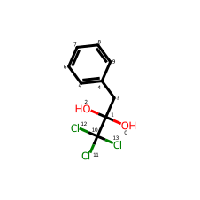 OC(O)(Cc1ccccc1)C(Cl)(Cl)Cl